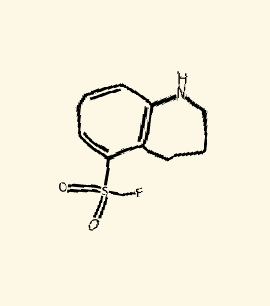 O=S(=O)(F)c1cccc2c1CCCN2